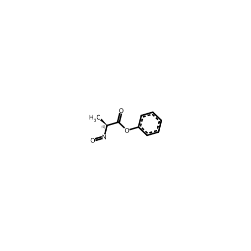 C[C@H](N=O)C(=O)Oc1ccccc1